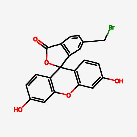 O=C1OC2(c3ccc(O)cc3Oc3cc(O)ccc32)c2cc(CBr)ccc21